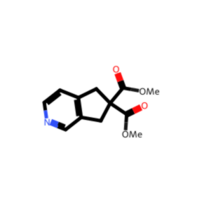 COC(=O)C1(C(=O)OC)Cc2ccncc2C1